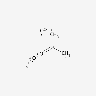 CC(C)=O.[O-2].[O-2].[Ti+4]